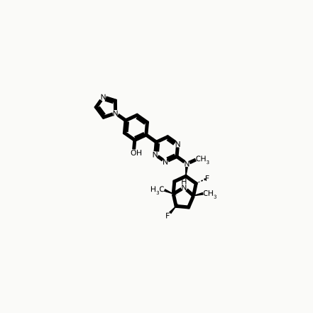 CN(c1ncc(-c2ccc(-n3ccnc3)cc2O)nn1)[C@@H]1C[C@]2(C)N[C@@](C)(C[C@H]2F)[C@H]1F